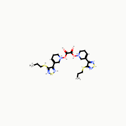 CCCSc1nsnc1C1=CCCN(OC(=O)C(=O)ON2CCC=C(c3nsnc3SCCC)C2)C1